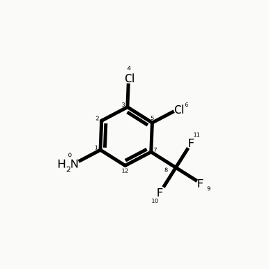 Nc1cc(Cl)c(Cl)c(C(F)(F)F)c1